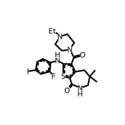 CCN1CCN(C(=O)c2c(Nc3ccc(I)cc3F)sc3c2CC(C)(C)CNC3=O)CC1